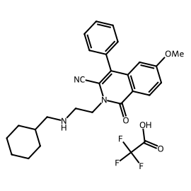 COc1ccc2c(=O)n(CCNCC3CCCCC3)c(C#N)c(-c3ccccc3)c2c1.O=C(O)C(F)(F)F